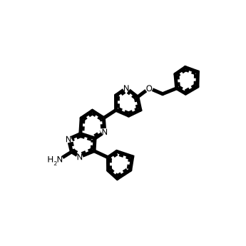 Nc1nc(-c2ccccc2)c2nc(-c3ccc(OCc4ccccc4)nc3)ccc2n1